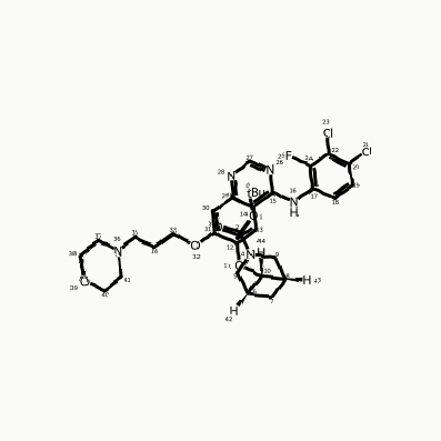 CC(C)(C)OC(=O)N1C[C@H]2C[C@@H](C1)[C@H]2Oc1cc2c(Nc3ccc(Cl)c(Cl)c3F)ncnc2cc1OCCCN1CCOCC1